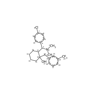 CN(C)C(c1ccc(Cl)cc1)C1CCCCC1(O)Cc1cccc(C(F)(F)F)c1